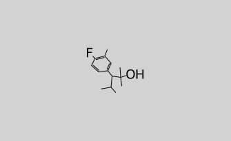 Cc1cc(C(C(C)C)C(C)(C)O)ccc1F